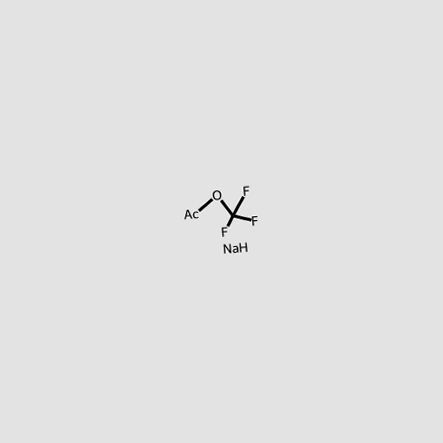 CC(=O)OC(F)(F)F.[NaH]